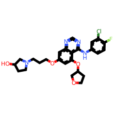 OC1CCN(CCCOc2cc(OC3CCOC3)c3c(Nc4ccc(F)c(Cl)c4)ncnc3c2)C1